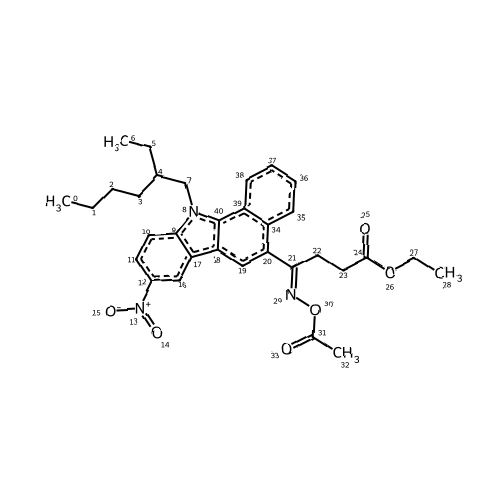 CCCCC(CC)Cn1c2ccc([N+](=O)[O-])cc2c2cc(/C(CCC(=O)OCC)=N/OC(C)=O)c3ccccc3c21